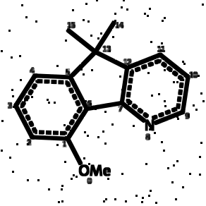 COc1cccc2c1-c1ncccc1C2(C)C